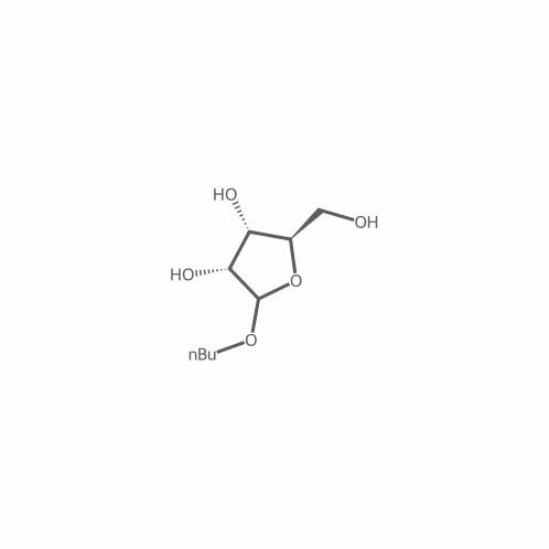 CCCCOC1O[C@H](CO)[C@@H](O)[C@H]1O